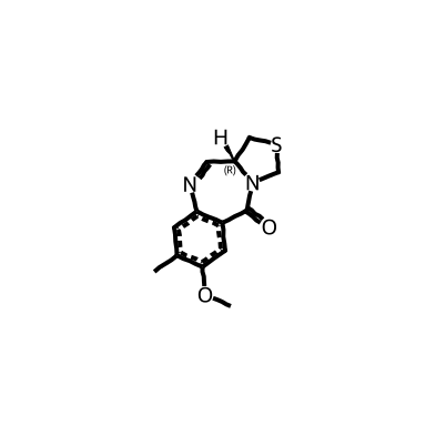 COc1cc2c(cc1C)N=C[C@@H]1CSCN1C2=O